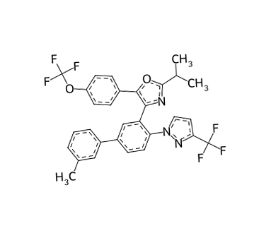 Cc1cccc(-c2ccc(-n3ccc(C(F)(F)F)n3)c(-c3nc(C(C)C)oc3-c3ccc(OC(F)(F)F)cc3)c2)c1